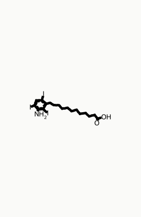 Nc1c(I)cc(I)c(CCCCCCCCCCCC(=O)O)c1I